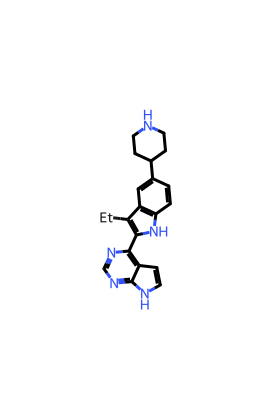 CCc1c(-c2ncnc3[nH]ccc23)[nH]c2ccc(C3CCNCC3)cc12